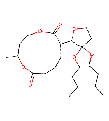 CCCCOC1(OCCCC)CCOC1C1CCCC(=O)OC(C)CCOC1=O